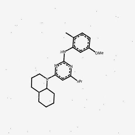 CCCc1cc(N2CCCC3CCCCC32)nc(Nc2cc(OC)ccc2C)n1